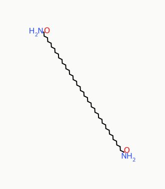 NC(=O)CCCCCCCCCCCCCCCCCCCCCCCCCCCCCCCCCCCCCCCCCCCC(N)=O